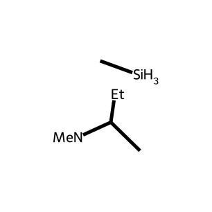 CCC(C)NC.C[SiH3]